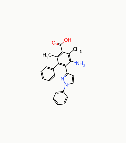 Cc1c(N)c(-c2ccn(-c3ccccc3)n2)c(-c2ccccc2)c(C)c1C(=O)O